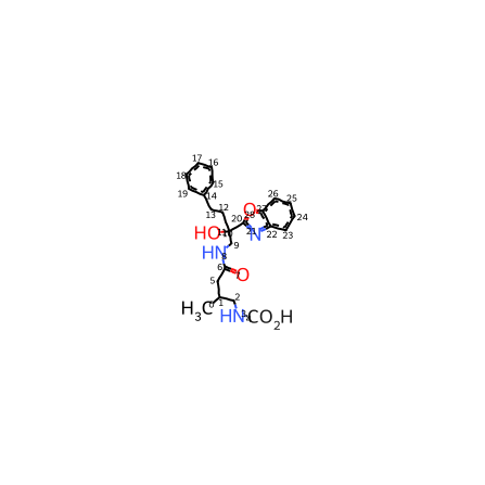 CC(CNC(=O)O)CC(=O)NCC(O)(CCc1ccccc1)c1nc2ccccc2o1